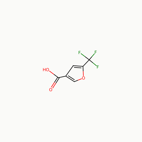 O=C(O)c1coc(C(F)(F)F)c1